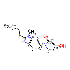 CCOC(=O)CCc1nc2ccc(-n3ccc(O)cc3=O)cc2n1C